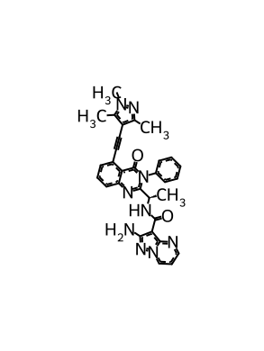 Cc1nn(C)c(C)c1C#Cc1cccc2nc([C@@H](C)NC(=O)c3c(N)nn4cccnc34)n(-c3ccccc3)c(=O)c12